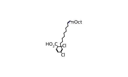 CCCCCCCC/C=C\CCCCCCCCC1(Cl)C=C(Cl)C=CC1C(=O)O